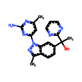 Cc1cc(-n2nc(C)c3ccc(C(C)(O)c4ncccn4)cc32)nc(N)n1